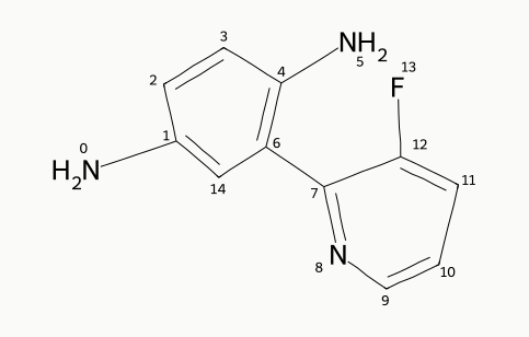 Nc1ccc(N)c(-c2ncccc2F)c1